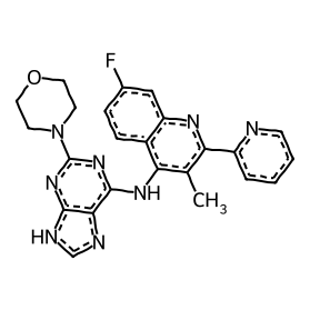 Cc1c(-c2ccccn2)nc2cc(F)ccc2c1Nc1nc(N2CCOCC2)nc2[nH]cnc12